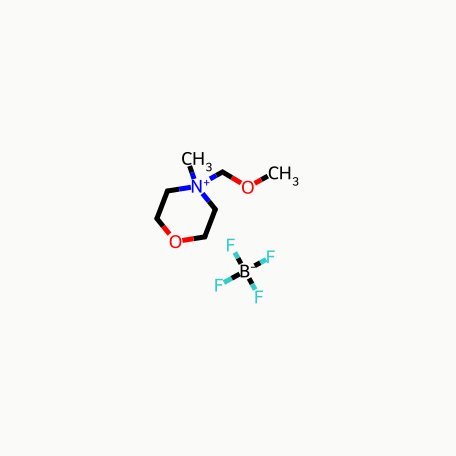 COC[N+]1(C)CCOCC1.F[B-](F)(F)F